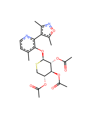 CC(=O)O[C@@H]1[C@@H](OC(C)=O)[C@H](OC(C)=O)CS[C@H]1Oc1c(C)ccnc1-c1c(C)noc1C